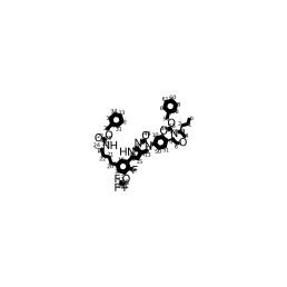 CCC[C@H]1COC[C@@H](c2ccc(-n3cc4cc(-c5cc(CCC[C@H](C)NC(=O)OCc6ccccc6)cc(OC(F)(F)F)c5F)[nH]c4nc3=O)cc2)N1C(=O)OCc1ccccc1